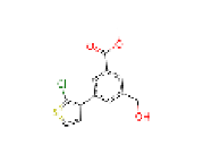 COC(=O)c1cc(CO)cc(-c2ccsc2Cl)c1